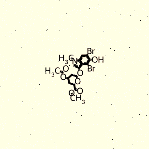 COC(=O)C1CC(OC(C)=O)CC(Oc2cn(C)c3cc(Br)c(O)c(Br)c23)O1